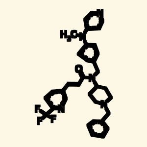 CN(c1ccncc1)c1ccc(CN(C(=O)C=Cc2ccc(C(F)(F)F)nc2)C2CCN(Cc3ccccc3)CC2)cc1